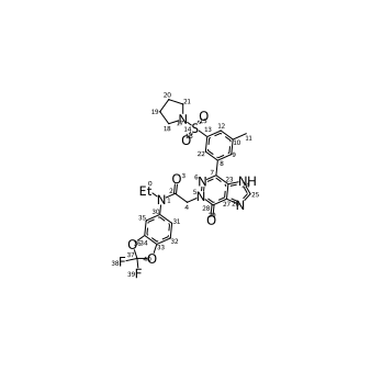 CCN(C(=O)Cn1nc(-c2cc(C)cc(S(=O)(=O)N3CCCC3)c2)c2[nH]cnc2c1=O)c1ccc2c(c1)OC(F)(F)O2